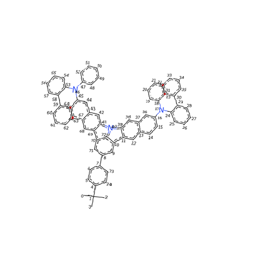 CC(C)(C)c1ccc(-c2cc3c4cc5ccc(N(c6ccccc6)c6ccccc6-c6ccccc6)cc5cc4n4c5cc6cc(N(c7ccccc7)c7ccccc7-c7ccccc7)ccc6cc5c(c2)c34)cc1